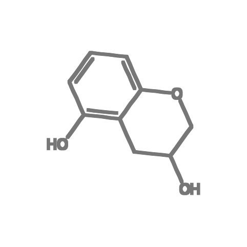 Oc1cccc2c1CC(O)CO2